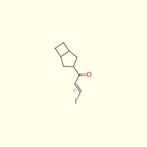 O=C(/C=C/I)C1CC2CCC2C1